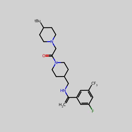 C=C(NCC1CCN(C(=O)CN2CCC(C(C)(C)C)CC2)CC1)c1cc(F)cc(C(F)(F)F)c1